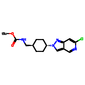 CC(C)(C)OC(=O)NC[C@H]1CC[C@H](n2cc3cnc(Cl)cc3n2)CC1